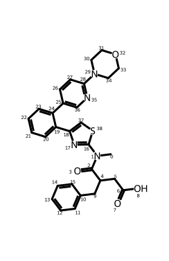 CN(C(=O)C(CC(=O)O)Cc1ccccc1)c1nc(-c2ccccc2-c2ccc(N3CCOCC3)nc2)cs1